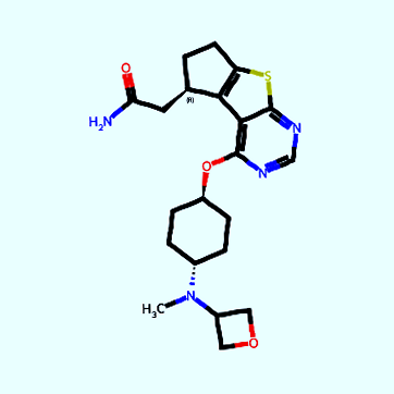 CN(C1COC1)[C@H]1CC[C@H](Oc2ncnc3sc4c(c23)[C@@H](CC(N)=O)CC4)CC1